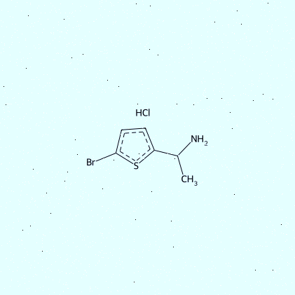 CC(N)c1ccc(Br)s1.Cl